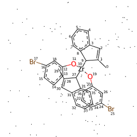 CC1=Cc2ccccc2[CH]1[Zr]([O]c1cccc(Br)c1)([O]c1cccc(Br)c1)[CH]1C(C)=Cc2ccccc21